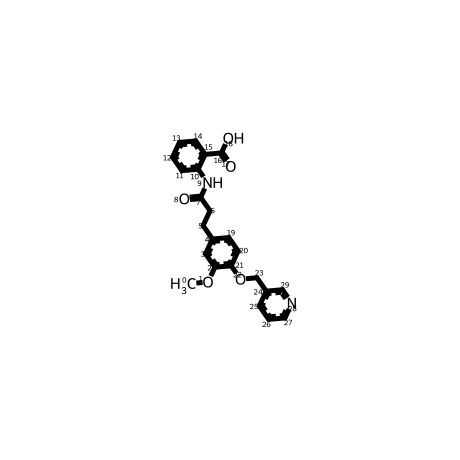 COc1cc(CCC(=O)Nc2ccccc2C(=O)O)ccc1OCc1cccnc1